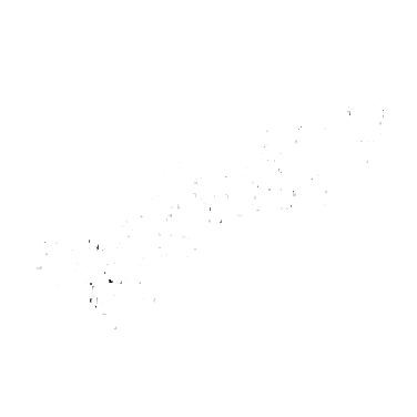 c1ccc2cc(-c3c4ccccc4c(-c4ccc(-c5c6ccccc6c(-c6ccc(-c7nc8ccccc8c8nc9ccccc9n78)cc6)c6ccccc56)cc4)c4ccccc34)ccc2c1